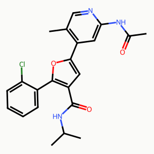 CC(=O)Nc1cc(-c2cc(C(=O)NC(C)C)c(-c3ccccc3Cl)o2)c(C)cn1